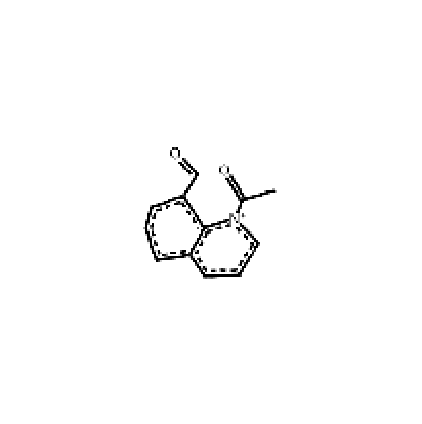 CC(=O)[n+]1cccc2cccc(C=O)c21